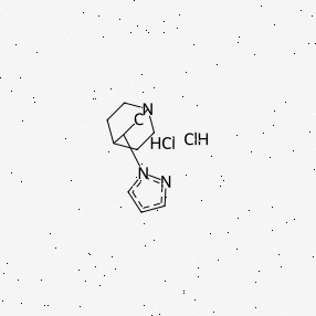 Cl.Cl.c1cnn(C2CN3CCC2CC3)c1